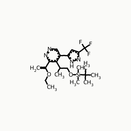 C=C(OCC)c1nncc(-c2cc(C(F)(F)F)n[nH]2)c1C(C)CO[Si](C)(C)C(C)(C)C